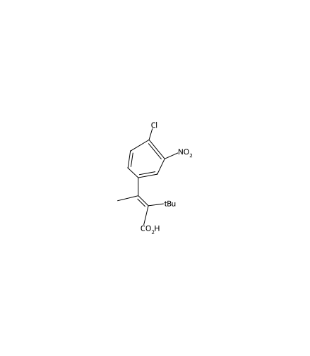 CC(=C(C(=O)O)C(C)(C)C)c1ccc(Cl)c([N+](=O)[O-])c1